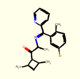 Cc1ccc(Br)cc1/C(=N\C(C)C(=O)C1C(C)CC1C)c1ccccn1